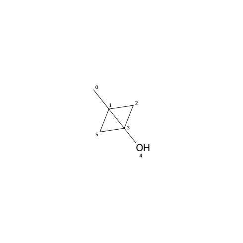 CC12CC1(O)C2